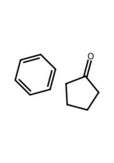 O=C1CCCC1.c1ccccc1